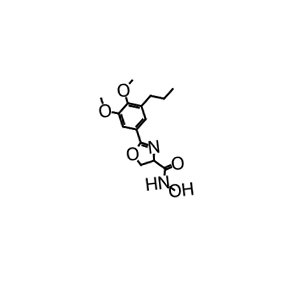 CCCc1cc(C2=NC(C(=O)NO)CO2)cc(OC)c1OC